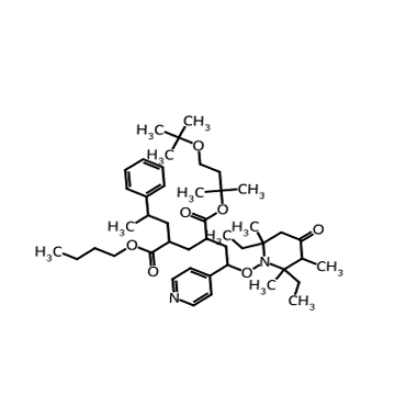 CCCCOC(=O)C(CC(CC(ON1C(C)(CC)CC(=O)C(C)C1(C)CC)c1ccncc1)C(=O)OC(C)(C)CCOC(C)(C)C)CC(C)c1ccccc1